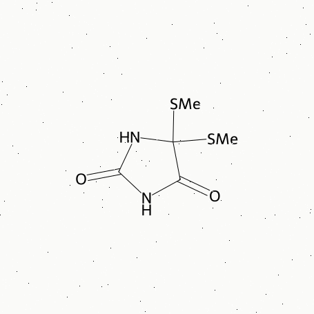 CSC1(SC)NC(=O)NC1=O